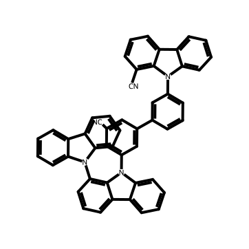 N#Cc1cc(-c2cccc(-n3c4ccccc4c4cccc(C#N)c43)c2)cc(-n2c3ccccc3c3cccc(-n4c5ccccc5c5ccccc54)c32)c1